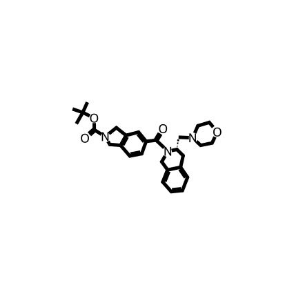 CC(C)(C)OC(=O)N1Cc2ccc(C(=O)N3Cc4ccccc4C[C@H]3CN3CCOCC3)cc2C1